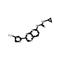 Cc1csc(-c2cnc3ccc(NC(=S)NC4CC4)nc3n2)c1